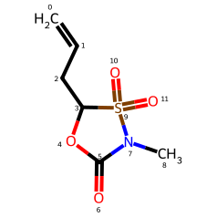 C=CCC1OC(=O)N(C)S1(=O)=O